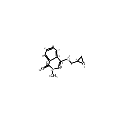 Cn1nc(OCC2CO2)c2ccccc2c1=O